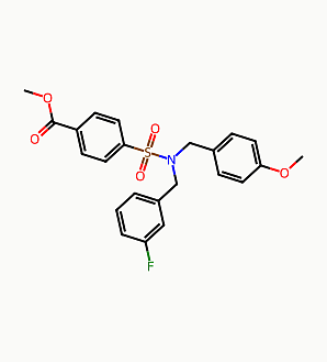 COC(=O)c1ccc(S(=O)(=O)N(Cc2ccc(OC)cc2)Cc2cccc(F)c2)cc1